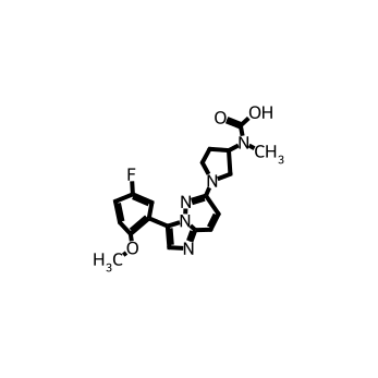 COc1ccc(F)cc1-c1cnc2ccc(N3CCC(N(C)C(=O)O)C3)nn12